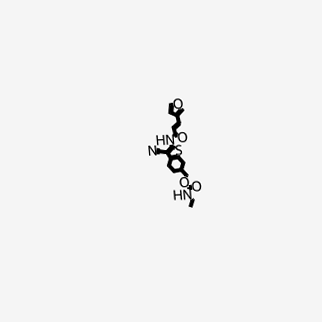 CCNC(=O)OCC1CCc2c(sc(NC(=O)C=Cc3ccoc3)c2C#N)C1